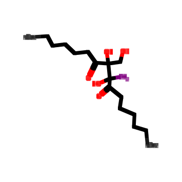 CCCCCCCCCCCCCCCC(=O)C(O)(P)C(O)(CO)C(=O)CCCCCCCCCCCCCCC